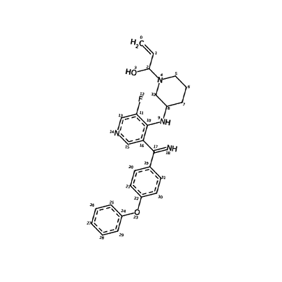 C=CC(O)N1CCCC(Nc2c(F)cncc2C(=N)c2ccc(Oc3ccccc3)cc2)C1